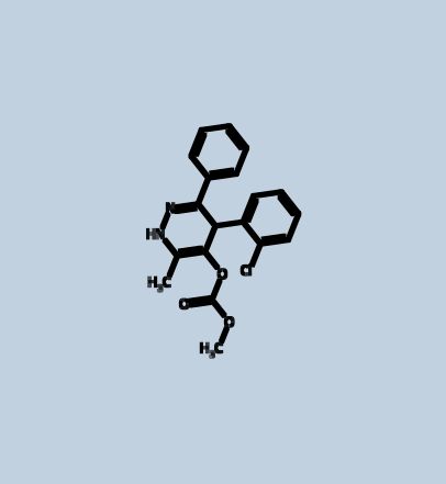 COC(=O)OC1=C(C)NN=C(c2ccccc2)C1c1ccccc1Cl